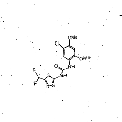 COc1cc(OC)c(NC(=O)Nc2nnc(C(F)F)s2)cc1Cl